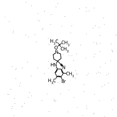 Cc1cc(NC2(C#N)CCN(OC(C)(C)C)CC2)cc(C)c1Br